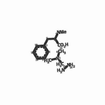 CN(C)C.CNC(Cc1ccccc1)C(=O)O.NN